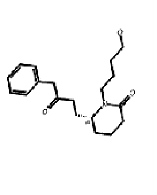 [O]CCCCN1C(=O)CCC[C@@H]1CCC(=O)Cc1ccccc1